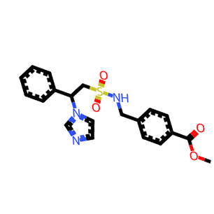 COC(=O)c1ccc(CNS(=O)(=O)CC(c2ccccc2)n2ccnc2)cc1